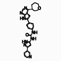 O=C(Nc1ccc(-c2cc3c(C4CCCOCC4)ncnc3[nH]2)cc1)Nc1cc(-c2cccnc2)n[nH]1